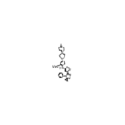 COc1cc(N2CCC(N3CCN(C)CC3)CC2)ccc1Nc1cc(N2OCC3(CC3)C2c2ccccc2)ncn1